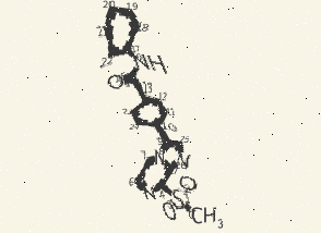 CS(=O)(=O)c1nccn2c(-c3ccc(C(=O)Nc4ccccc4)cc3)cnc12